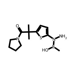 CB(O)N(N)c1ccc(C(C)(C)C(=O)N2CCCC2)s1